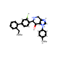 CNCc1ccccc1-c1ccc(C2NCc3ncn(-c4ccc(OC)cc4)c3C2=O)c(F)c1